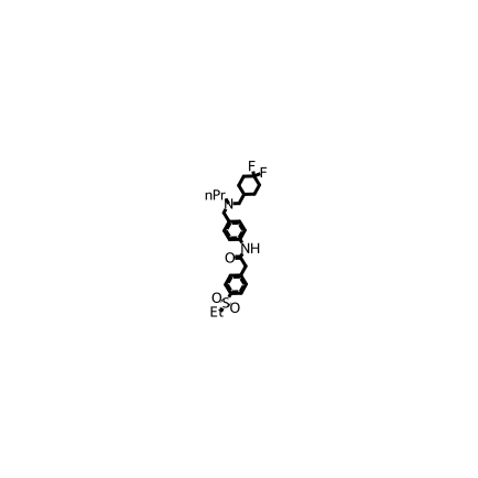 CCCN(Cc1ccc(NC(=O)Cc2ccc(S(=O)(=O)CC)cc2)cc1)CC1CCC(F)(F)CC1